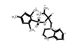 Cc1cc(C)c(S(=O)(=O)NC(I)(CN2CCNc3ccccc32)C(C)C)c(C)c1